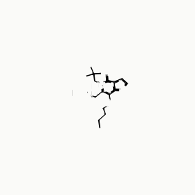 CCCCOc1c(CN)n(CC(C)(C)C)c(=O)c2ccsc12.Cl